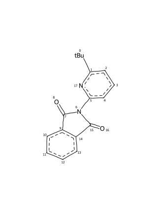 CC(C)(C)c1cccc(N2C(=O)c3ccccc3C2=O)n1